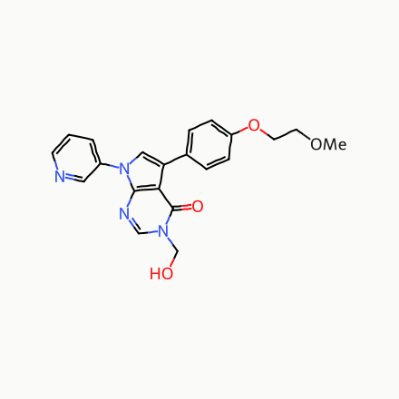 COCCOc1ccc(-c2cn(-c3cccnc3)c3ncn(CO)c(=O)c23)cc1